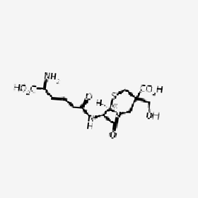 NC(CCCC(=O)NC1C(=O)N2CC(CO)(C(=O)O)CS[C@H]12)C(=O)O